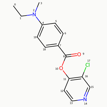 CCN(C)c1ccc(C(=O)Oc2c[c]ncc2Cl)cc1